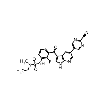 CCN(C)S(=O)(=O)Nc1cccc(C(=O)c2c[nH]c3ncc(-c4cnc(C#N)nc4)cc23)c1F